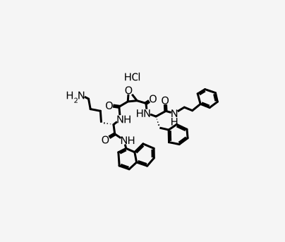 Cl.NCCCC[C@H](NC(=O)C1OC1C(=O)N[C@@H](Cc1ccccc1)C(=O)NCCc1ccccc1)C(=O)Nc1cccc2ccccc12